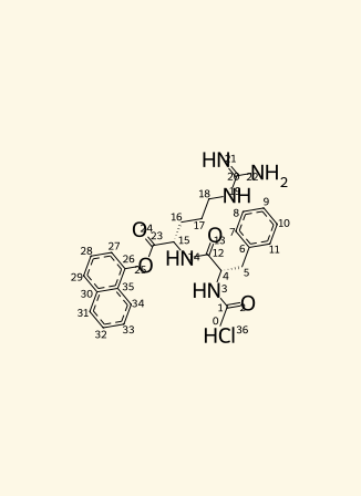 CC(=O)N[C@@H](Cc1ccccc1)C(=O)N[C@@H](CCCNC(=N)N)C(=O)Oc1cccc2ccccc12.Cl